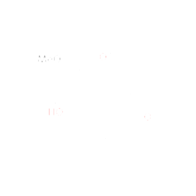 COC(=O)C(O)C1CCOC1